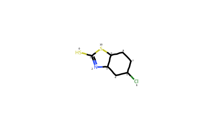 SC1=NC2CC(Cl)CCC2S1